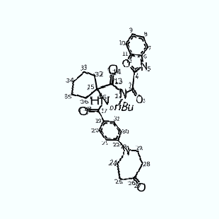 CCCCN(C(=O)c1nc2ccccc2o1)C(=O)C1(NC(=O)c2ccc(N3CCC(=O)CC3)cc2)CCCCC1